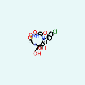 C[C@@H]1[C@@H](C)C/C=C/[C@@](O)(C#CCO)[C@@H]2CC[C@H]2CN2C[C@@]3(CCCc4cc(Cl)ccc43)COc3ccc(cc32)C(=O)NS1(=O)=O